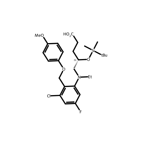 CCN(C[C@H](CCC(=O)O)O[Si](C)(C)C(C)(C)C)c1cc(F)cc(Cl)c1COc1ccc(OC)cc1